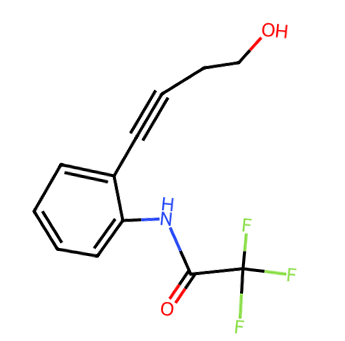 O=C(Nc1ccccc1C#CCCO)C(F)(F)F